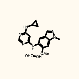 COc1cc2c(cnn2C)cc1Nc1cc(NC2CC2)ncn1.O=CO